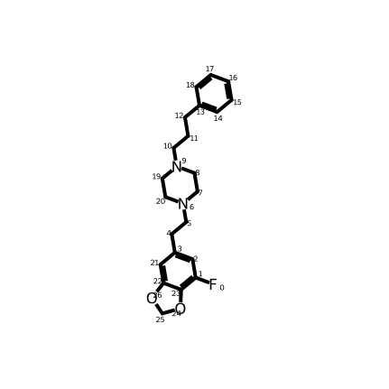 Fc1cc(CCN2CCN(CCCc3ccccc3)CC2)cc2c1OCO2